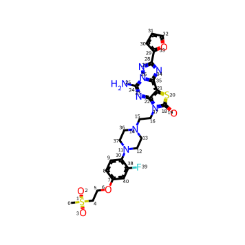 CS(=O)(=O)CCOc1ccc(N2CCN(CCn3c(=O)sc4c3nc(N)n3nc(-c5ccco5)nc43)CC2)c(F)c1